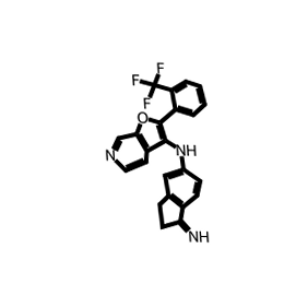 N=C1CCc2cc(Nc3c(-c4ccccc4C(F)(F)F)oc4cnccc34)ccc21